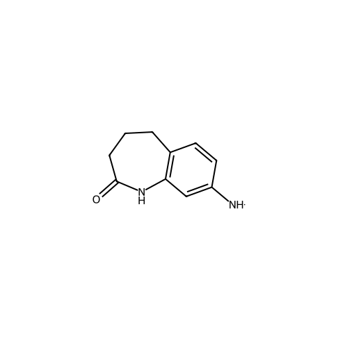 [NH]c1ccc2c(c1)NC(=O)CCC2